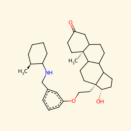 C[C@H]1CCCCC1NCc1cccc(OCC[C@]23CCC4C(CCC5CC(=O)CC[C@@]54C)C2CC[C@@H]3O)c1